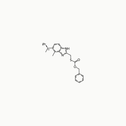 Cc1c([C@@H](C)C(C)C)ccc2[nH]c(CSC(=O)OCc3ccccc3)nc12